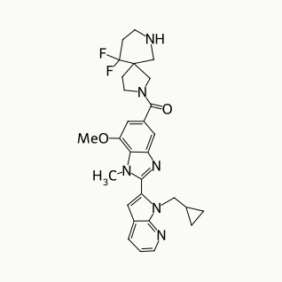 COc1cc(C(=O)N2CCC3(CNCCC3(F)F)C2)cc2nc(-c3cc4cccnc4n3CC3CC3)n(C)c12